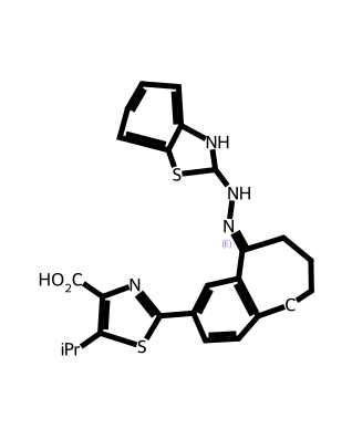 CC(C)c1sc(-c2ccc3c(c2)/C(=N/NC2Nc4ccccc4S2)CCCC3)nc1C(=O)O